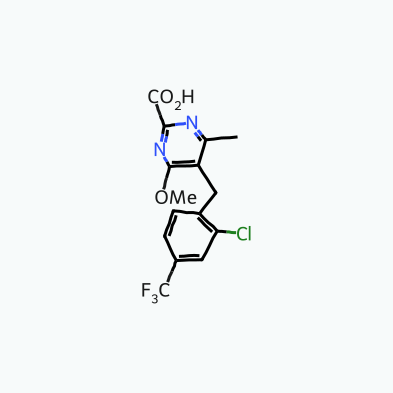 COc1nc(C(=O)O)nc(C)c1Cc1ccc(C(F)(F)F)cc1Cl